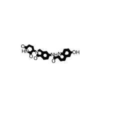 O=C1CCC(N2Cc3cc(NC(=O)c4ccc5cc(O)ccc5n4)ccc3C2=O)C(=O)N1